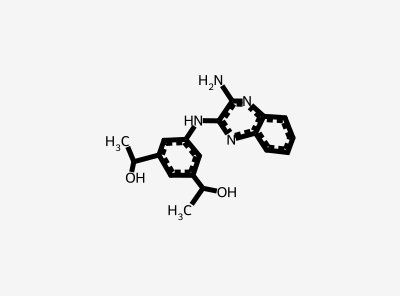 CC(O)c1cc(Nc2nc3ccccc3nc2N)cc(C(C)O)c1